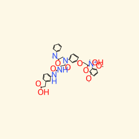 COc1ccc(OC)c([N+](C)(O)C(=O)COc2cccc(N(CC(=O)N(C)c3ccccc3)C(=O)CNC(=O)Nc3cccc(CC(=O)O)c3)c2)c1